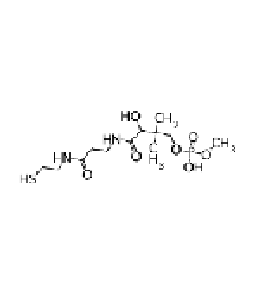 COP(=O)(O)OCC(C)(C)C(O)C(=O)NCCC(=O)NCCS